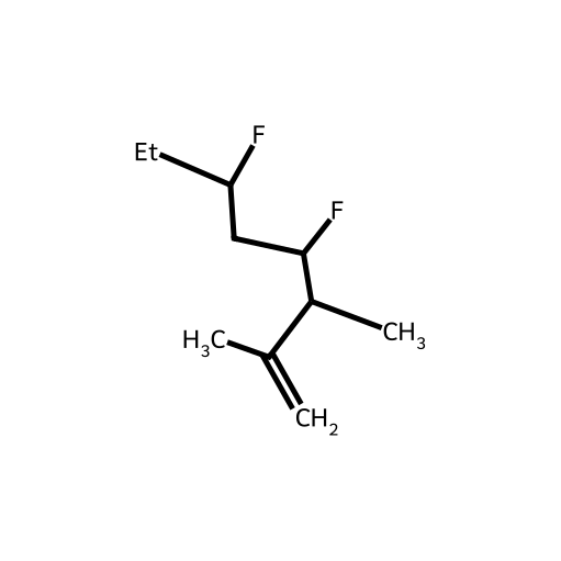 C=C(C)C(C)C(F)CC(F)CC